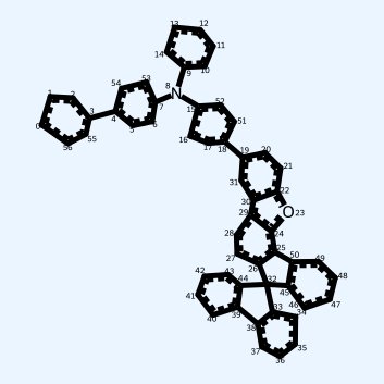 c1ccc(-c2ccc(N(c3ccccc3)c3ccc(-c4ccc5oc6c7c(ccc6c5c4)C4(c5ccccc5-c5ccccc54)c4ccccc4-7)cc3)cc2)cc1